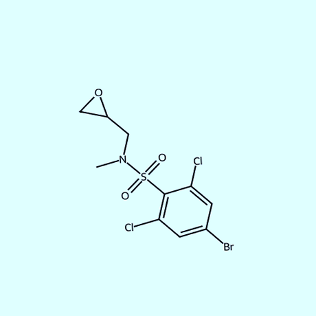 CN(CC1CO1)S(=O)(=O)c1c(Cl)cc(Br)cc1Cl